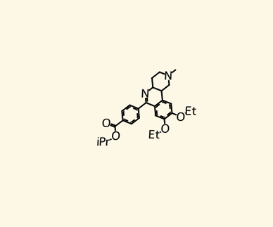 CCOc1cc2c(cc1OCC)C1CN(C)CCC1N=C2c1ccc(C(=O)OC(C)C)cc1